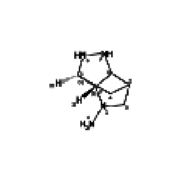 NN1CC2C[C@@H]3NNC2[C@@H]31